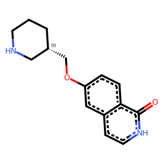 O=c1[nH]ccc2cc(OC[C@H]3CCCNC3)ccc12